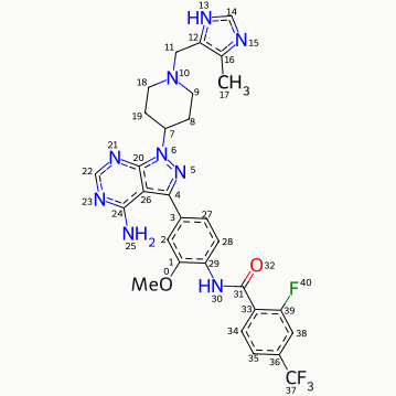 COc1cc(-c2nn(C3CCN(Cc4[nH]cnc4C)CC3)c3ncnc(N)c23)ccc1NC(=O)c1ccc(C(F)(F)F)cc1F